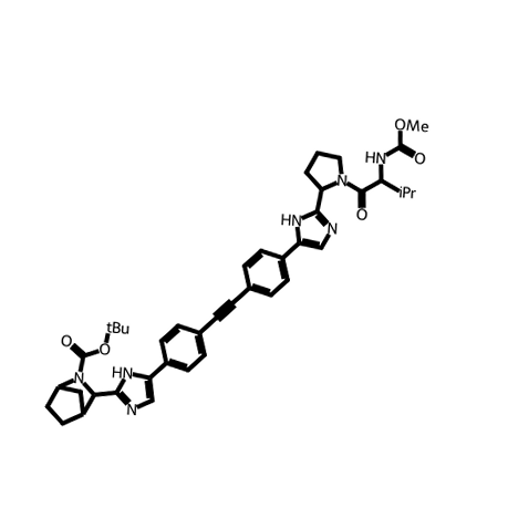 COC(=O)NC(C(=O)N1CCCC1c1ncc(-c2ccc(C#Cc3ccc(-c4cnc(C5C6CCC(C6)N5C(=O)OC(C)(C)C)[nH]4)cc3)cc2)[nH]1)C(C)C